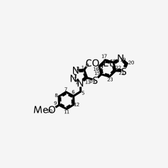 CCOC(=O)c1nnn(Cc2ccc(OC)cc2)c1Sc1ccc2ncsc2c1